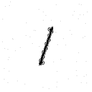 C=CC(=O)OCCOCCOCCOCCOCCOCCOCCOC(=O)C=C